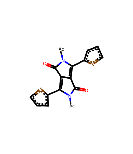 CC(=O)N1C(=O)C2=C(c3cccs3)N(C(C)=O)C(=O)C2=C1c1cccs1